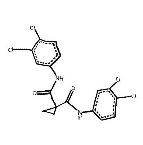 O=C(Nc1ccc(Cl)c(Cl)c1)C1(C(=O)Nc2ccc(Cl)c(Cl)c2)CC1